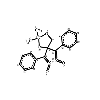 C[Si]1(C)OCC(C(=S=O)c2ccccc2)(C(=S=O)c2ccccc2)O1